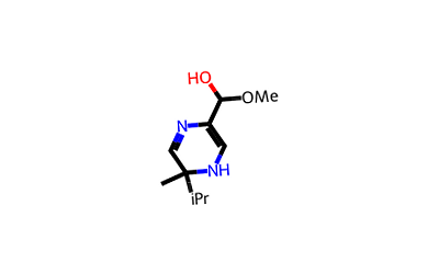 COC(O)C1=CNC(C)(C(C)C)C=N1